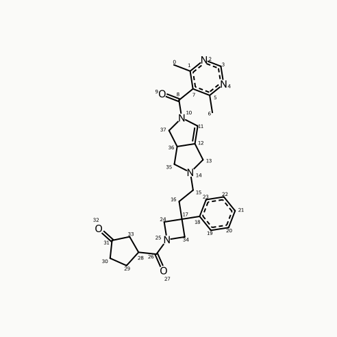 Cc1ncnc(C)c1C(=O)N1C=C2CN(CCC3(c4ccccc4)CN(C(=O)C4CCC(=O)C4)C3)CC2C1